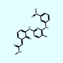 CNC(=O)C=C1C=CC=C(Nc2ncc(F)c(Nc3cccc([N+](=O)[O-])c3)n2)C1=O